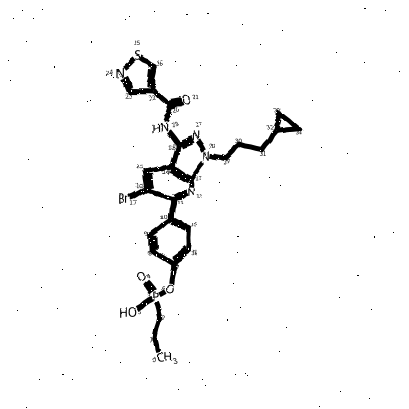 CCCP(=O)(O)Oc1ccc(-c2nc3c(cc2Br)c(NC(=O)c2cnsc2)nn3CCCC2CC2)cc1